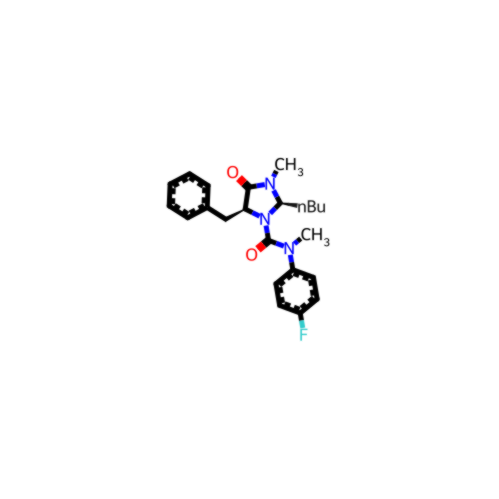 CCCC[C@@H]1N(C)C(=O)[C@H](Cc2ccccc2)N1C(=O)N(C)c1ccc(F)cc1